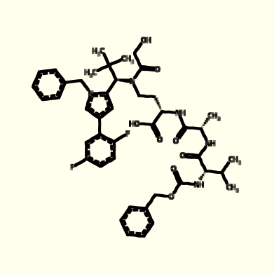 CC(C)[C@H](NC(=O)OCc1ccccc1)C(=O)N[C@@H](C)C(=O)N[C@@H](CCN(C(=O)CO)[C@@H](c1cc(-c2cc(F)ccc2F)cn1Cc1ccccc1)C(C)(C)C)C(=O)O